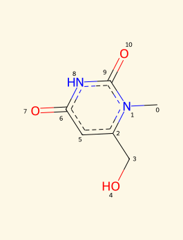 Cn1c(CO)cc(=O)[nH]c1=O